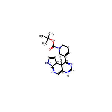 CC(C)(C)OC(=O)N1CCC=C(C2=NC=NC3=CN=C4NC=CC4[C@@H]32)C1